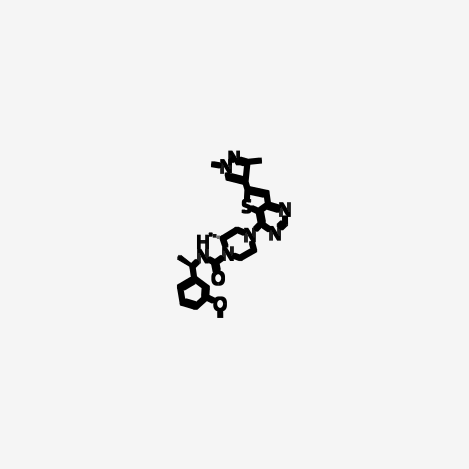 COc1cccc([C@@H](C)NC(=O)N2CCN(c3ncnc4cc(-c5cn(C)nc5C)sc34)C[C@H]2C)c1